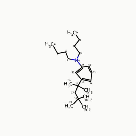 CCCCN(CCCC)c1cccc(C(C)(C)CC(C)(C)C)c1